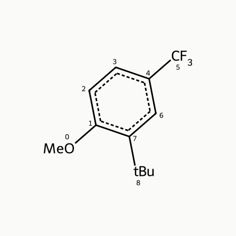 COc1ccc(C(F)(F)F)cc1C(C)(C)C